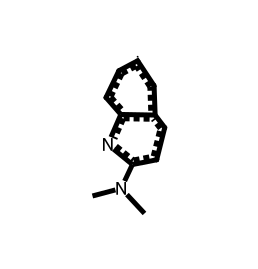 CN(C)c1ccc2c[c]ccc2n1